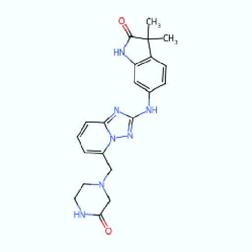 CC1(C)C(=O)Nc2cc(Nc3nc4cccc(CN5CCNC(=O)C5)n4n3)ccc21